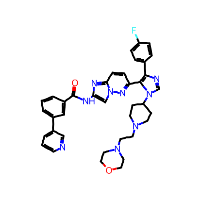 O=C(Nc1cn2nc(-c3c(-c4ccc(F)cc4)ncn3C3CCN(CCN4CCOCC4)CC3)ccc2n1)c1cccc(-c2cccnc2)c1